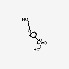 O=C1OC(c2ccc(OCCCO)cc2)CN1CO